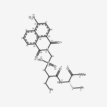 CNC(=O)[C@H](CC(C)C)NC(=O)C(CC(C)C)CP(=O)(O)CN1C(=O)c2cccc3c([N+](=O)[O-])ccc(c23)C1=O